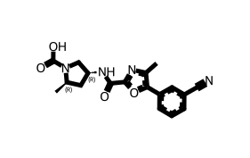 Cc1nc(C(=O)N[C@@H]2C[C@@H](C)N(C(=O)O)C2)oc1-c1cccc(C#N)c1